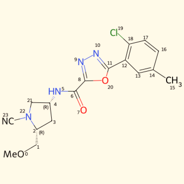 COC[C@H]1C[C@@H](NC(=O)c2nnc(-c3cc(C)ccc3Cl)o2)CN1C#N